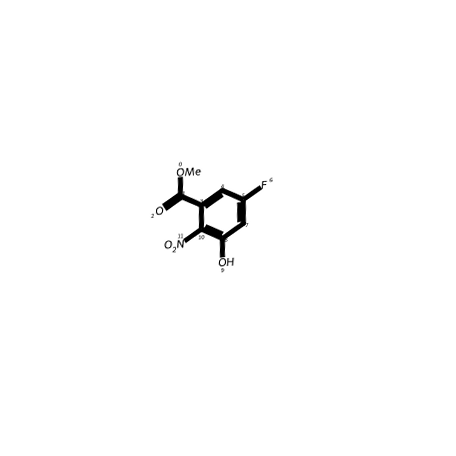 COC(=O)c1cc(F)cc(O)c1[N+](=O)[O-]